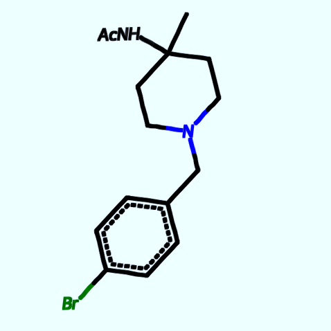 CC(=O)NC1(C)CCN(Cc2ccc(Br)cc2)CC1